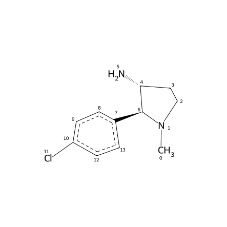 CN1CC[C@@H](N)[C@@H]1c1ccc(Cl)cc1